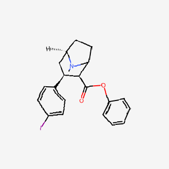 CN1C2CC[C@@H]1C[C@H](c1ccc(I)cc1)C2C(=O)Oc1ccccc1